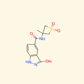 CC1(NC(=O)c2ccc3[nH]nc(O)c3c2)CS(=O)(=O)C1